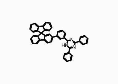 c1ccc(C2=NC(c3cccc(-c4ccc5c(c4)C4(c6ccccc6-c6ccccc64)c4ccccc4-5)c3)NC(c3ccccc3)=N2)cc1